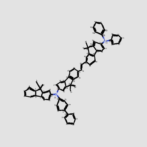 CC1(C)c2ccccc2-c2ccc(N(c3ccc(-c4ccccc4)cc3)c3ccc4c(c3)C(C)(C)c3cc(/C=C/c5ccc6c(c5)C(C)(C)c5cc(N(c7ccccc7)c7ccccc7)ccc5-6)ccc3-4)cc21